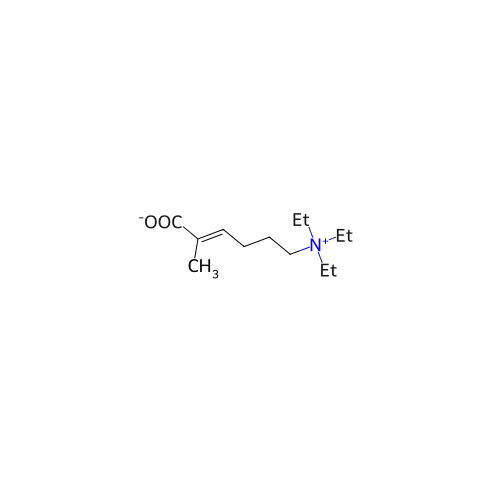 CC[N+](CC)(CC)CCCC=C(C)C(=O)[O-]